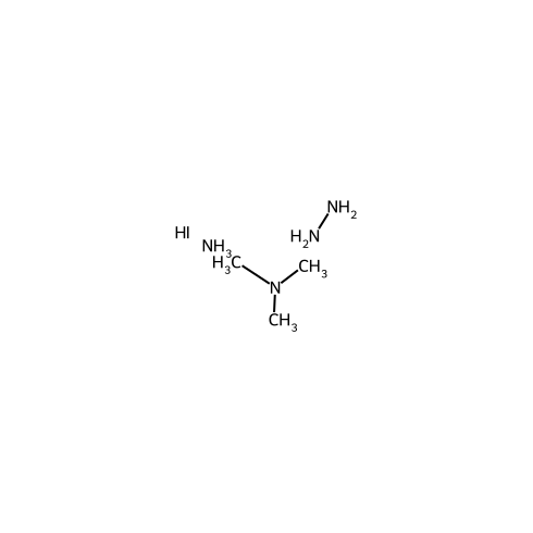 CN(C)C.I.N.NN